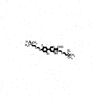 CCc1cc(OCOCC[Si](C)(C)C)c(F)cc1C1=CC(=N)/C(=C(/C=O)NCOCC[Si](C)(C)C)N=C1